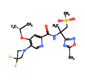 Cc1nc(C(C)(CS(C)(=O)=O)NC(=O)c2cc(O[C@@H](C)C(F)(F)F)c(N3CC(F)(F)C3)cn2)no1